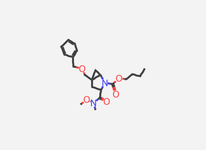 CCCCOC(=O)N1C(C(=O)N(C)OC)CC2(COCc3ccccc3)CC12